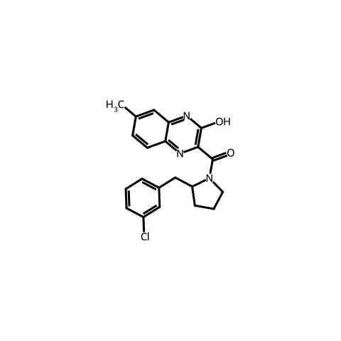 Cc1ccc2nc(C(=O)N3CCCC3Cc3cccc(Cl)c3)c(O)nc2c1